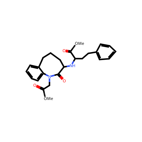 COC(=O)CN1C(=O)C(NC(CCc2ccccc2)C(=O)OC)CCCc2ccccc21